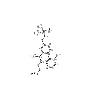 COCCO[C@H](c1cc(CO[Si](C)(C)C(C)(C)C)ccc1-c1ccccc1F)C(C)(C)C